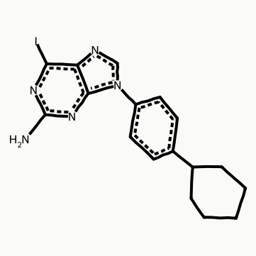 Nc1nc(I)c2ncn(-c3ccc(C4CCCCC4)cc3)c2n1